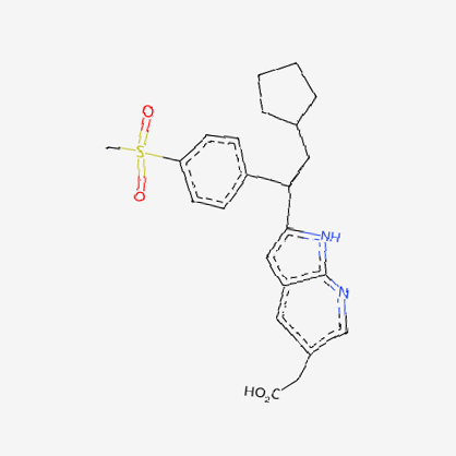 CS(=O)(=O)c1ccc(C(CC2CCCC2)c2cc3cc(CC(=O)O)cnc3[nH]2)cc1